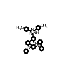 Cc1ccc(C2=NC(c3ccc(C)cc3)NC(c3ccc(C)c(-c4cccc5c4c4cc(-n6c7ccccc7c7ccccc76)ccc4n5-c4ccccc4)c3)=N2)cc1